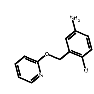 Nc1ccc(Cl)c(COc2ccccn2)c1